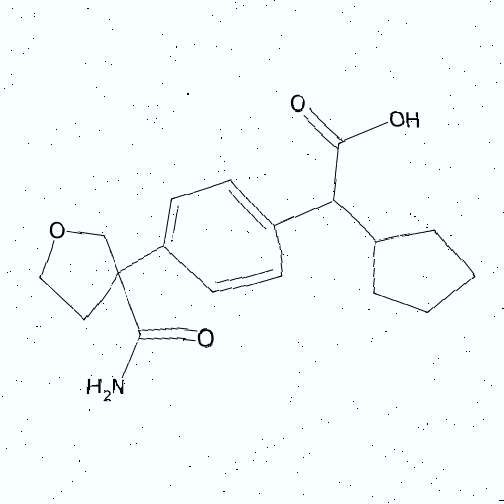 NC(=O)C1(c2ccc(C(C(=O)O)C3CCCC3)cc2)CCOC1